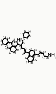 C/C(=C\C=C(/CNC1C=CC=CC1)C(C)C1=C(C(C)C2=CCCCC2)C(C)CCC1)C1=C2CCC=CC2=C(C/C=C\C=C/N)CC1